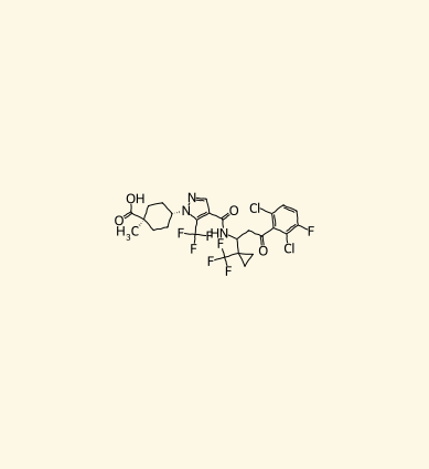 C[C@]1(C(=O)O)CC[C@H](n2ncc(C(=O)NC(CC(=O)c3c(Cl)ccc(F)c3Cl)C3(C(F)(F)F)CC3)c2C(F)(F)F)CC1